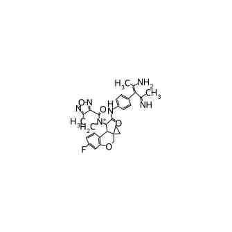 C=[N+](C(=O)c1nonc1C)C(C(=O)Nc1ccc(/C(C(C)=N)=C(\C)N)cc1)C1c2ccc(F)cc2OCC12CC2